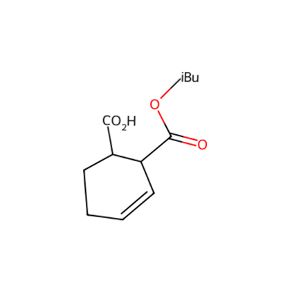 CCC(C)OC(=O)C1C=CCCC1C(=O)O